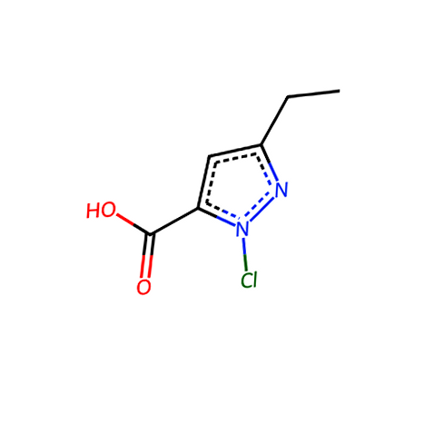 CCc1cc(C(=O)O)n(Cl)n1